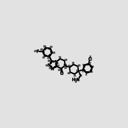 NC[C@]1(c2cccc(Cl)c2)CC[C@H](N2CCn3c(nnc3-c3cccc(F)c3)C2=O)CC1